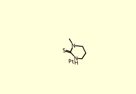 CN1CCCNC1=S.[Pt]